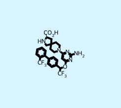 Nc1nc(OC(c2ccc(-c3ccccc3C(F)(F)F)cc2)C(F)(F)F)cc(N2CCC3(CC2)CN[C@H](C(=O)O)C3)n1